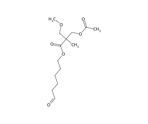 COCC(C)(COC(C)=O)C(=O)OCCCCCC=O